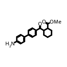 COC(=O)C1CCCCC1C(=O)c1ccc(-c2ccc(N)cc2)cc1